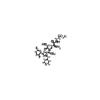 CC(C)(C)[C@H](c1cc(-c2cc(F)ccc2F)cn1Cc1ccccc1)N(CC[C@H](N)C(=O)NCCC(=O)O)C(=O)CO